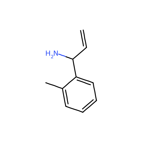 C=CC(N)c1ccccc1C